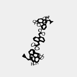 O=C(Cc1cccc2c(CC(=O)Oc3ccc4c5c3O[C@H]3C(=O)CC[C@@]6(O)[C@@H](C4)N(CC4CC4)CC[C@]536)cccc12)Oc1ccc2c3c1C[C@H]1C(=O)CC[C@@]4(O)[C@@H](C2)N(CC2CC2)CC[C@]314